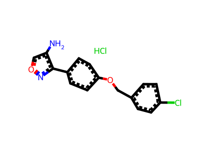 Cl.Nc1conc1-c1ccc(OCc2ccc(Cl)cc2)cc1